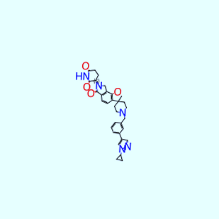 O=C1CC[C@H](N2Cc3c(ccc4c3OCC43CCN(Cc4cccc(-c5cnn(C6CC6)c5)c4)CC3)C2=O)C(=O)N1